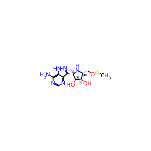 CSOC[C@H]1N[C@@H](c2n[nH]c3c(N)ncnc23)[C@H](O)[C@@H]1O